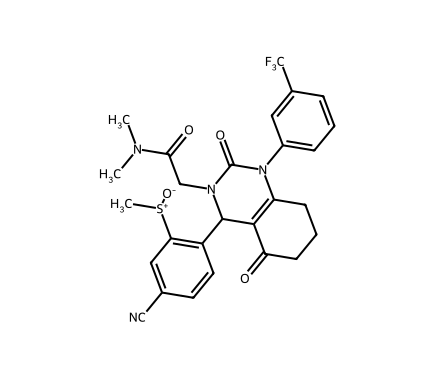 CN(C)C(=O)CN1C(=O)N(c2cccc(C(F)(F)F)c2)C2=C(C(=O)CCC2)C1c1ccc(C#N)cc1[S+](C)[O-]